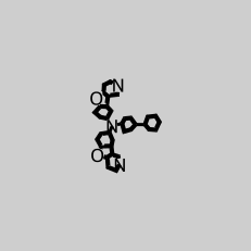 c1ccc(-c2ccc(N(c3ccc4oc5ccncc5c4c3)c3ccc4oc5ccncc5c4c3)cc2)cc1